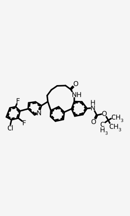 CC(C)(C)OC(=O)Nc1ccc2c(c1)NC(=O)CCCCC(c1ccc(-c3c(F)ccc(Cl)c3F)cn1)c1cccc-2c1